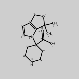 CC1(C)OCc2cnn(C3(C(=O)O)CCNCC3)c21